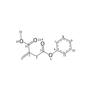 C=C(CC(=O)Oc1ccccc1)C(=O)OC